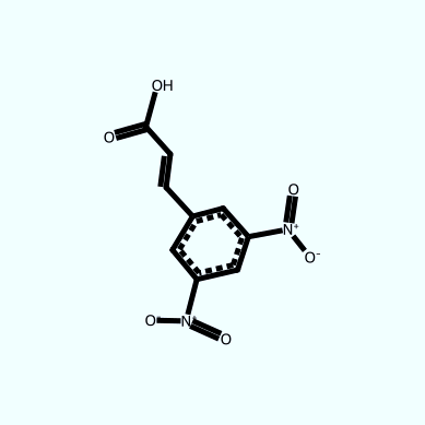 O=C(O)C=Cc1cc([N+](=O)[O-])cc([N+](=O)[O-])c1